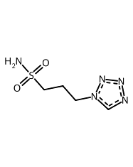 NS(=O)(=O)CCCn1cnnn1